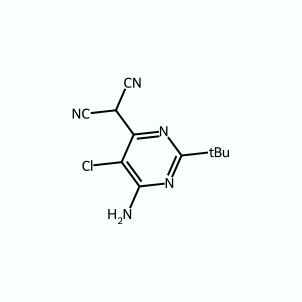 CC(C)(C)c1nc(N)c(Cl)c(C(C#N)C#N)n1